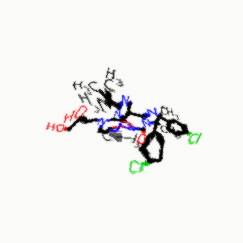 CCOc1nc(C(C)(C)C)ncc1C1=NC(C)(c2ccc(Cl)cc2)C(C)(c2ccc(Cl)cc2)N1C(=O)N1CCN(CC[C@@H](O)CO)CC1